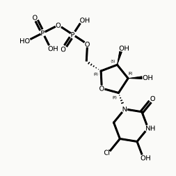 O=C1NC(O)C(Cl)CN1[C@@H]1O[C@H](COP(=O)(O)OP(=O)(O)O)[C@@H](O)[C@H]1O